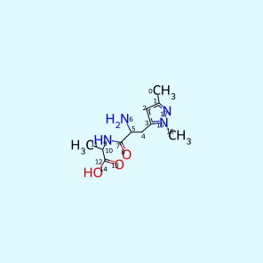 Cc1cc(CC(N)C(=O)NC(C)C(=O)O)n(C)n1